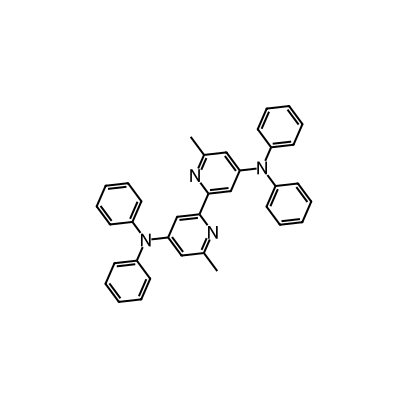 Cc1cc(N(c2ccccc2)c2ccccc2)cc(-c2cc(N(c3ccccc3)c3ccccc3)cc(C)n2)n1